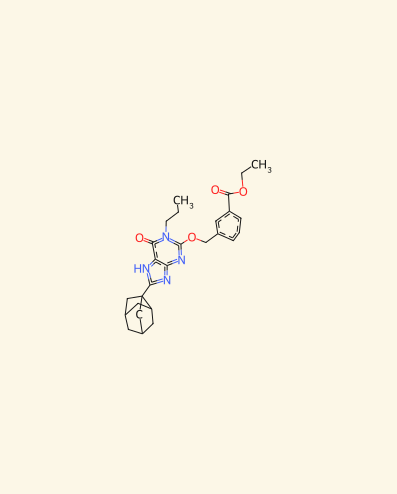 CCCn1c(OCc2cccc(C(=O)OCC)c2)nc2nc(C34CC5CC(CC3C5)C4)[nH]c2c1=O